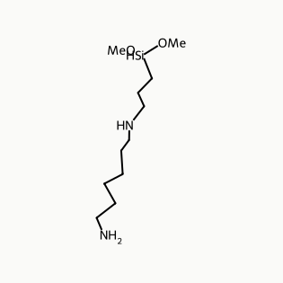 CO[SiH](CCCNCCCCCCN)OC